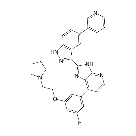 Fc1cc(OCCN2CCCC2)cc(-c2ccnc3[nH]c(-c4n[nH]c5ccc(-c6cccnc6)cc45)nc23)c1